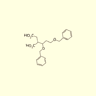 O=C(O)CC(C(=O)O)C(CCOCc1ccccc1)OCc1ccccc1